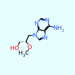 CO[C@H](CO)Cn1cnc2c(N)ncnc21